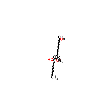 C/C=C/C=C/C=C/C=C/C=C/C(O)C(C)C(O)C(C)/C=C/C/C=C/C=C/C=C/C=C/C(C)=O